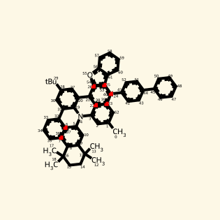 Cc1cc(N(c2ccc3c(c2)C(C)(C)CCC3(C)C)c2c(-c3ccccc3)cc(C(C)(C)C)cc2-c2ccccc2)cc(N(c2ccc(-c3ccccc3)cc2)c2coc3ccccc23)c1